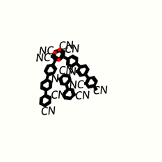 N#Cc1cccc(-c2cc(-n3c4cc(-c5ccc(C#N)cc5C#N)ccc4c4ccc(-c5ccc(C#N)cc5C#N)cc43)c(C#N)c(-n3c4cc(-c5ccc(C#N)cc5C#N)ccc4c4ccc(-c5ccc(C#N)cc5C#N)cc43)c2)c1